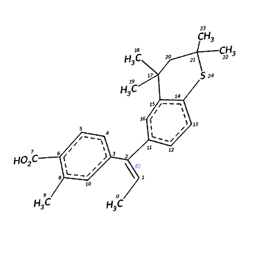 C/C=C(\c1ccc(C(=O)O)c(C)c1)c1ccc2c(c1)C(C)(C)CC(C)(C)S2